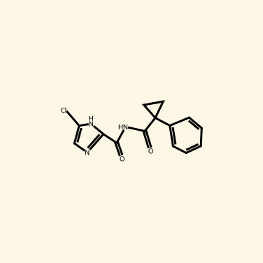 O=C(NC(=O)C1(c2ccccc2)CC1)c1ncc(Cl)[nH]1